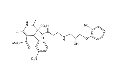 COC(=O)C1=C(C)NC(C)C(C(=O)O)(C(=O)NCCNCC(O)COc2ccccc2C#N)C1c1cccc([N+](=O)[O-])c1